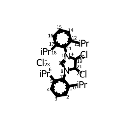 CC(C)c1cccc(C(C)C)c1N1C=[N+](c2c(C(C)C)cccc2C(C)C)C(Cl)C1Cl.[Cl-]